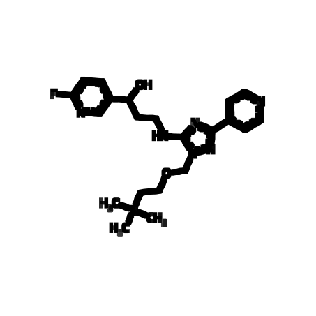 C[Si](C)(C)CCOCn1nc(-c2ccncc2)nc1NCCC(O)c1ccc(F)nc1